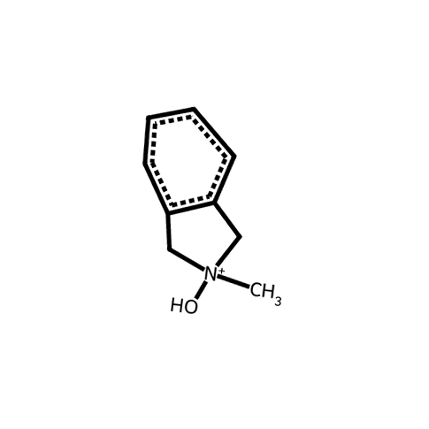 C[N+]1(O)Cc2ccccc2C1